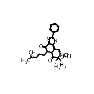 CN(C)CCCC1C(=O)C2=NC(c3ccccc3)=NC2=C2C=NC(C)(C)C(=O)C21.Cl.Cl